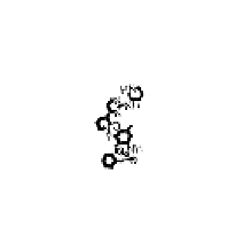 Cc1cc(NS(=O)(=O)Cc2ccccc2)c(F)c(F)c1Oc1ncccc1-c1ccnc(N[C@@H]2CNC[C@H](C)C2)n1